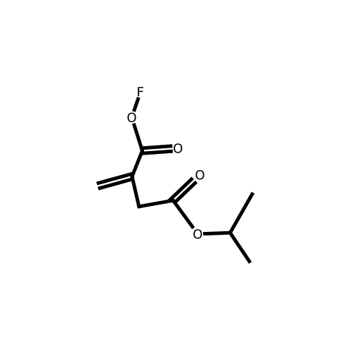 C=C(CC(=O)OC(C)C)C(=O)OF